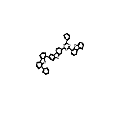 c1ccc(-c2nc(-c3ccc4c(c3)oc3ccc(-c5cccc6c5oc5c(-c7ccccc7)cccc56)cc34)nc(-c3cccc4c3oc3ccccc34)n2)cc1